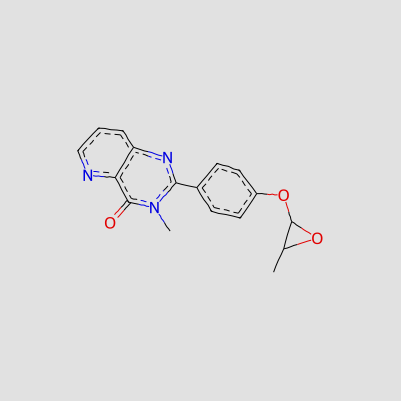 CC1OC1Oc1ccc(-c2nc3cccnc3c(=O)n2C)cc1